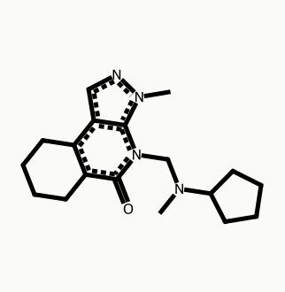 CN(Cn1c(=O)c2c(c3cnn(C)c31)CCCC2)C1CCCC1